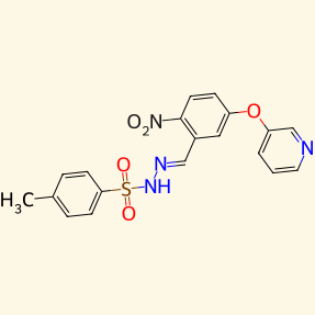 Cc1ccc(S(=O)(=O)NN=Cc2cc(Oc3cccnc3)ccc2[N+](=O)[O-])cc1